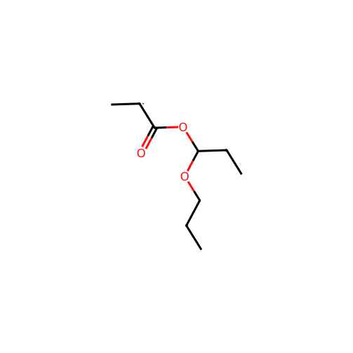 C[CH]C(=O)OC(CC)OCCC